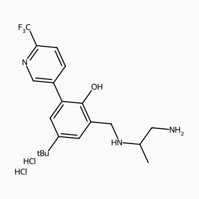 CC(CN)NCc1cc(C(C)(C)C)cc(-c2ccc(C(F)(F)F)nc2)c1O.Cl.Cl